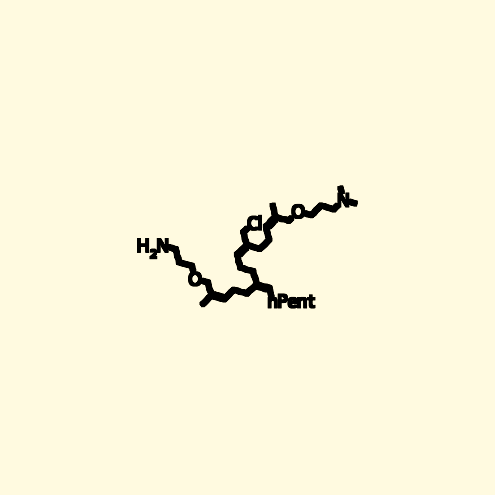 CCCCC/C=C(\CC/C=C(/C)COCCCN)CC/C=C(/CCl)CC/C=C(/C)COCCCN(C)C